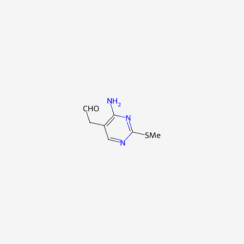 CSc1ncc(CC=O)c(N)n1